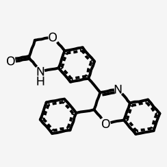 O=C1COc2ccc(C3=Nc4ccccc4OC3c3ccccc3)cc2N1